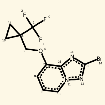 FC(F)(F)C1(COc2cccn3nc(Br)nc23)CC1